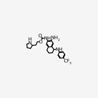 Nc1cc2c(cc1NC(=O)OCCC1CCCN1)CCCC2Nc1ccc(C(F)(F)F)cc1